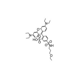 CCOCCCNS(=O)(=O)c1ccc(-c2c3ccc(N(CC)CC)cc3[o+]c3cc(N(CC)CC)ccc23)c(S(=O)(=O)O)c1